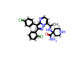 CC(NC1(C(N)=O)CCNCC1)c1ccnc2c(-c3ccc(Cl)cc3)c(-c3ccccc3Cl)nn12